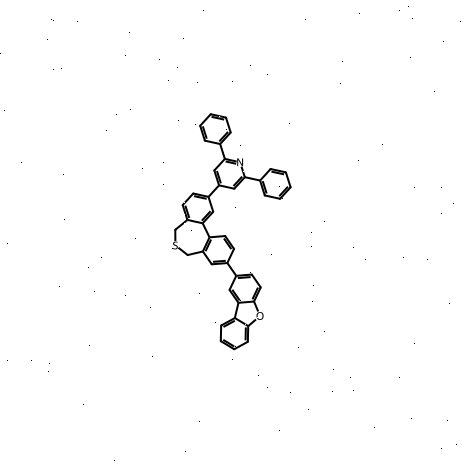 c1ccc(-c2cc(-c3ccc4c(c3)-c3ccc(-c5ccc6oc7ccccc7c6c5)cc3CSC4)cc(-c3ccccc3)n2)cc1